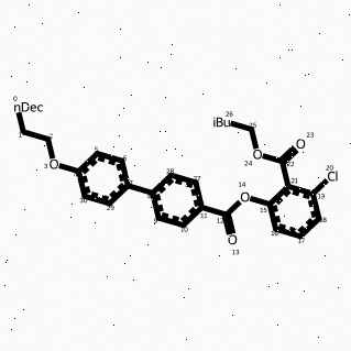 CCCCCCCCCCCCOc1ccc(-c2ccc(C(=O)Oc3cccc(Cl)c3C(=O)OCC(C)CC)cc2)cc1